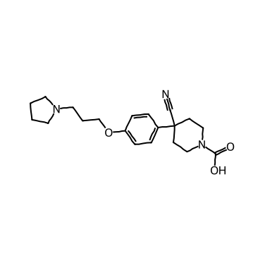 N#CC1(c2ccc(OCCCN3CCCC3)cc2)CCN(C(=O)O)CC1